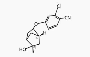 C[C@]1(O)C[C@@H]2CC1CC2Oc1ccc(C#N)c(Cl)c1